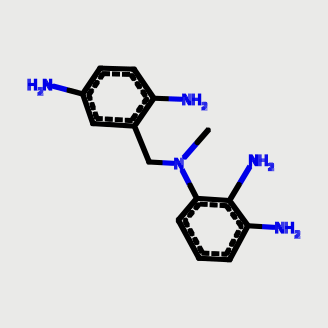 CN(Cc1cc(N)ccc1N)c1cccc(N)c1N